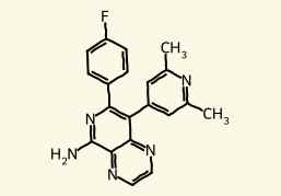 Cc1cc(-c2c(-c3ccc(F)cc3)nc(N)c3nccnc23)cc(C)n1